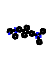 c1ccc(-c2nc(-c3ccccc3)nc(-c3ccc(-c4c5ccccc5c(-c5ccc6nc(-c7cccnc7)n(-c7ccccc7)c6c5)c5ccccc45)cc3)n2)cc1